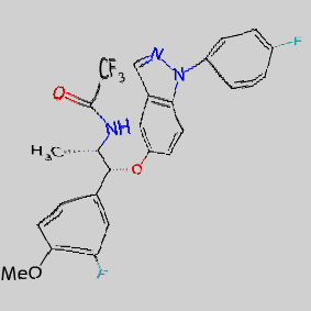 COc1ccc([C@@H](Oc2ccc3c(cnn3-c3ccc(F)cc3)c2)[C@H](C)NC(=O)C(F)(F)F)cc1F